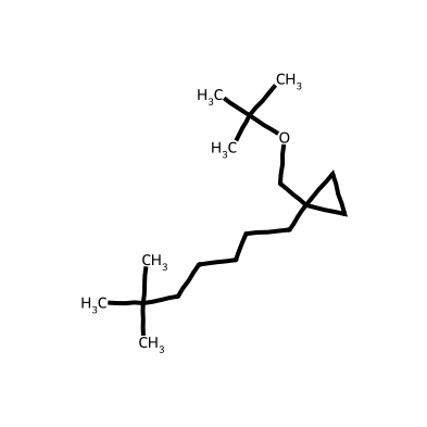 CC(C)(C)CCCCCC1(COC(C)(C)C)CC1